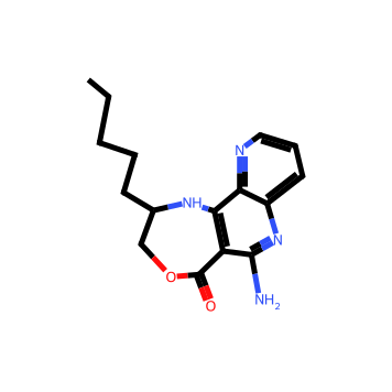 CCCCCC1COC(=O)c2c(N)nc3cccnc3c2N1